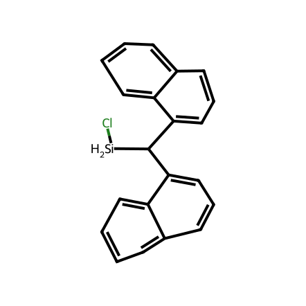 Cl[SiH2]C(c1cccc2ccccc12)c1cccc2ccccc12